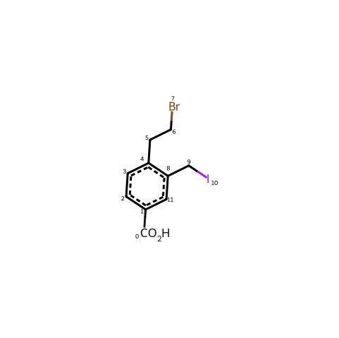 O=C(O)c1ccc(CCBr)c(CI)c1